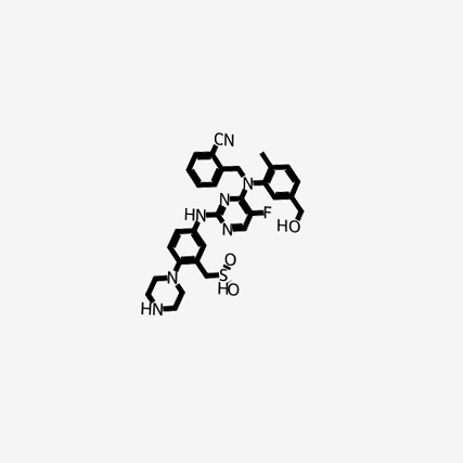 Cc1ccc(CO)cc1N(Cc1ccccc1C#N)c1nc(Nc2ccc(N3CCNCC3)c(C[SH](=O)=O)c2)ncc1F